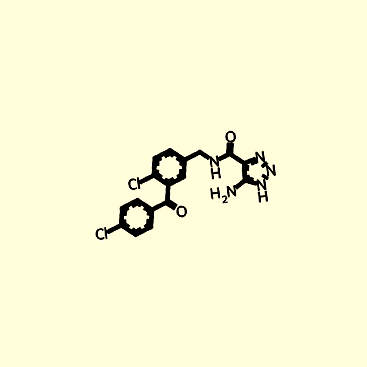 Nc1[nH]nnc1C(=O)NCc1ccc(Cl)c(C(=O)c2ccc(Cl)cc2)c1